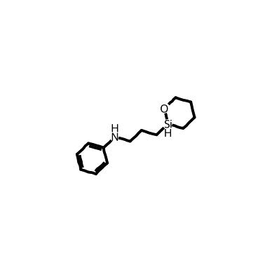 c1ccc(NCCC[SiH]2CCCCO2)cc1